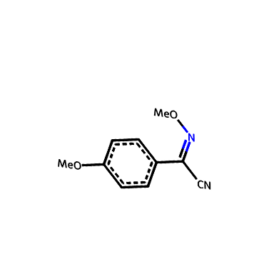 CO/N=C(/C#N)c1ccc(OC)cc1